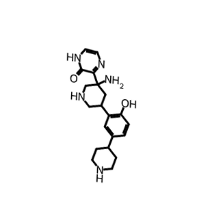 NC1(c2ncc[nH]c2=O)CNCC(c2cc(C3CCNCC3)ccc2O)C1